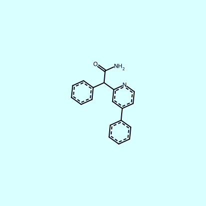 NC(=O)C(c1ccccc1)c1cc(-c2ccccc2)ccn1